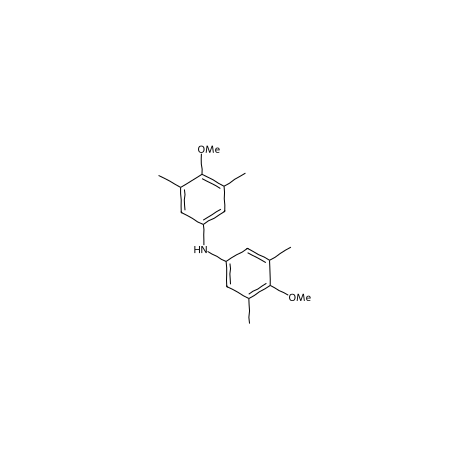 COc1c(C)cc(Nc2cc(C)c(OC)c(C)c2)cc1C